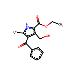 CCOC(=O)c1[nH]c(C)c(C(=O)c2ccccc2)c1CO